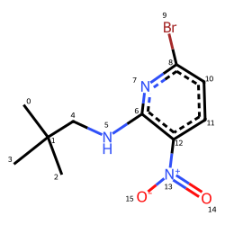 CC(C)(C)CNc1nc(Br)ccc1[N+](=O)[O-]